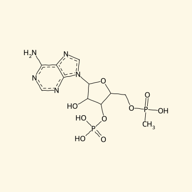 CP(=O)(O)OCC1OC(n2cnc3c(N)ncnc32)C(O)C1OP(=O)(O)O